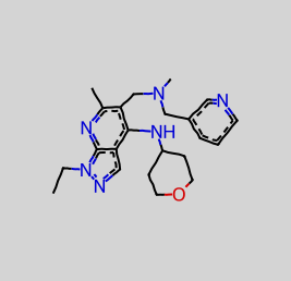 CCn1ncc2c(NC3CCOCC3)c(CN(C)Cc3cccnc3)c(C)nc21